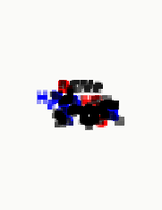 COC(=O)c1nc(-c2cccc(C3(O)CCN(C)C3=O)c2)c2nccn2c1N